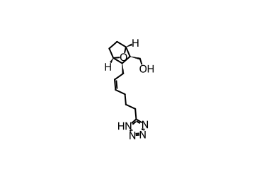 OC[C@H]1[C@@H](C/C=C\CCCc2nnn[nH]2)[C@@H]2CC[C@H]1O2